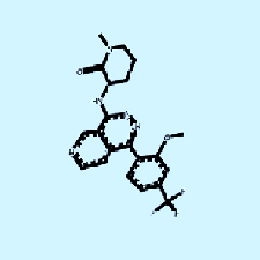 COc1cc(C(F)(F)F)ccc1-c1nnc(NC2CCCN(C)C2=O)c2cnccc12